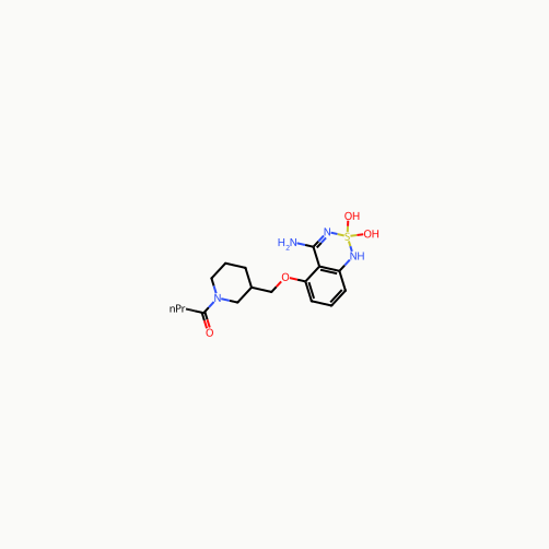 CCCC(=O)N1CCCC(COc2cccc3c2C(N)=NS(O)(O)N3)C1